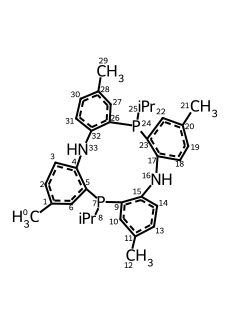 Cc1ccc2c(c1)P(C(C)C)c1cc(C)ccc1Nc1ccc(C)cc1P(C(C)C)c1cc(C)ccc1N2